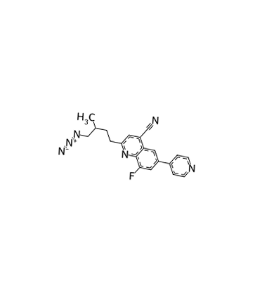 CC(CCc1cc(C#N)c2cc(-c3ccncc3)cc(F)c2n1)CN=[N+]=[N-]